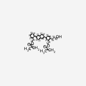 C=C(C)C(=O)OCCc1cc(-c2ccc3cc(-c4ccccc4CCOC(=O)C(=C)C)ccc3c2)ccc1CCCO